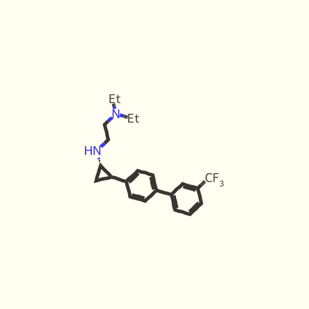 CCN(CC)CCN[C@H]1CC1c1ccc(-c2cccc(C(F)(F)F)c2)cc1